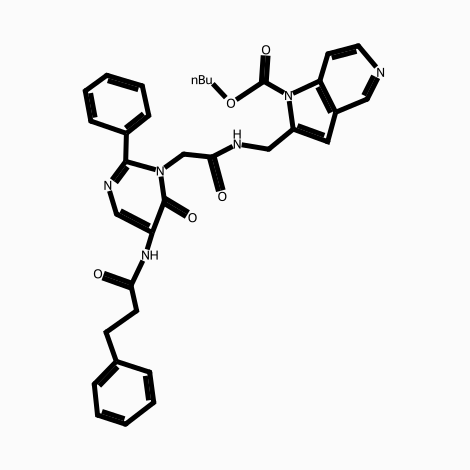 CCCCOC(=O)n1c(CNC(=O)Cn2c(-c3ccccc3)ncc(NC(=O)CCc3ccccc3)c2=O)cc2cnccc21